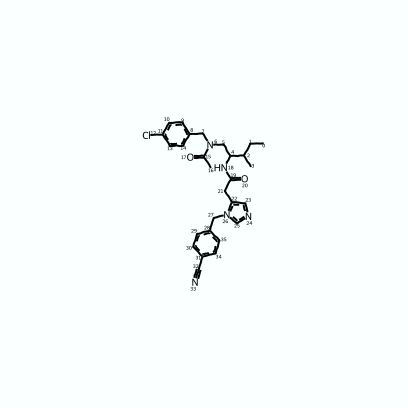 CCC(C)C(CN(Cc1ccc(Cl)cc1)C(C)=O)NC(=O)Cc1cncn1Cc1ccc(C#N)cc1